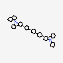 c1ccc(-n2c3ccccc3c3cc(-c4ccc(-c5ccc(-c6ccc(-c7ccc8c(c7)c7ccccc7n8-c7cccc8ccccc78)cc6)cc5)cc4)ccc32)cc1